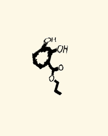 CCCOC(=O)c1cccc(O)c1O